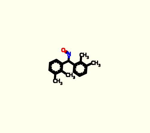 Cc1cccc(C(N=O)c2cccc(C)c2C)c1C